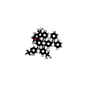 CC(C)(C)c1ccc(N2c3ccc(C(C)(C)C)cc3B3c4ccc(N(c5ccccc5)c5ccccc5)cc4N(c4cccc5c4-c4ccccc4C5(C)C)c4cc(C(C)(C)C)cc2c43)cc1